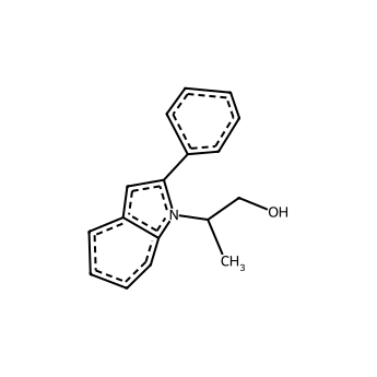 CC(CO)n1c(-c2ccccc2)cc2ccccc21